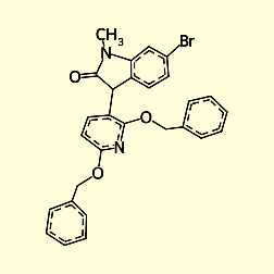 CN1C(=O)C(c2ccc(OCc3ccccc3)nc2OCc2ccccc2)c2ccc(Br)cc21